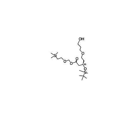 CC(C)(C)[Si](C)(C)O[C@H](CCOCCCO)CC(=O)OCOCC[Si](C)(C)C